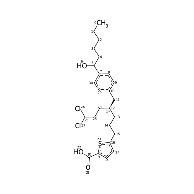 CCCCCC(O)c1ccc(C[C@@H](CCCc2ccc(C(=O)O)s2)CCC(Cl)Cl)cc1